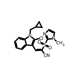 Cn1ccnc1S(=O)(=O)/C(C#N)=C\c1c(Cl)n(CC2CC2)c2ccccc12